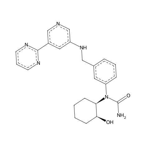 NC(=O)N(c1cccc(CNc2cncc(-c3ncccn3)c2)c1)[C@@H]1CCCC[C@@H]1O